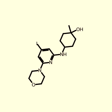 CC1(O)CCC(Nc2cc(I)cc(N3CCOCC3)n2)CC1